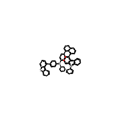 c1ccc(N(c2ccc(-c3cccc4cccc(-c5cccc6c5c5ccccc5n6-c5ccccc5)c34)cc2)c2ccc(-c3cccc4sc5ccccc5c34)cc2)cc1